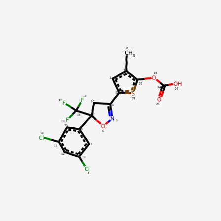 Cc1cc(C2=NOC(c3cc(Cl)cc(Cl)c3)(C(F)(F)F)C2)sc1OC(=O)O